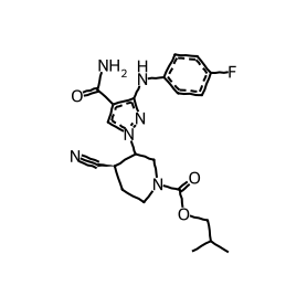 CC(C)COC(=O)N1CC[C@@H](C#N)C(n2cc(C(N)=O)c(Nc3ccc(F)cc3)n2)C1